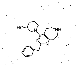 OC1CCCN(c2nc(Cc3ccccc3)nc3c2CCNCC3)C1